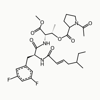 CCC(C)C/C=C/C(=O)N[C@@H](Cc1cc(F)cc(F)c1)C(=O)N[C@H](C(=O)OC)[C@H](C)OC(=O)C1CCCN1C(C)=O